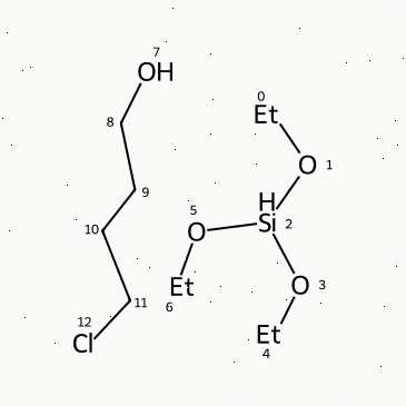 CCO[SiH](OCC)OCC.OCCCCCl